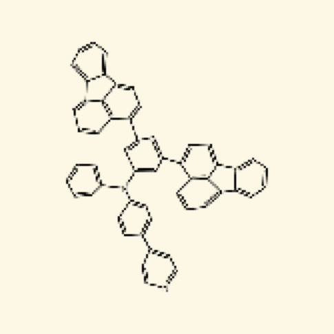 c1ccc(N(c2ccc(-c3ccncc3)cc2)c2cc(-c3ccc4c5c(cccc35)-c3ccccc3-4)cc(-c3ccc4c5c(cccc35)-c3ccccc3-4)c2)cc1